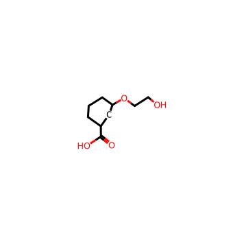 O=C(O)C1CCCC(OCCO)C1